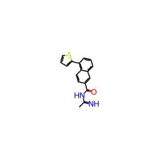 CC(=N)NC(=O)c1ccc2c(-c3cccs3)cccc2c1